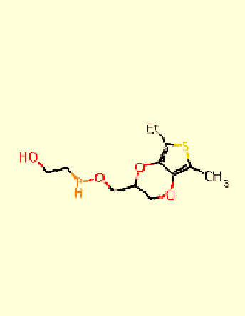 CCc1sc(C)c2c1OC(COPCCO)CO2